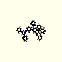 C1=C2c3cc4ccccc4cc3C(c3ccccc3)(c3ccccc3)C2Cc2c1c1cc(C3N4C(c5ccccc5)=CC(c5ccccc5)N34)ccc1n2-c1ccccc1